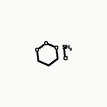 C1COOOC1.[SiH3]Cl